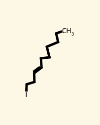 CCCCCC/C=C/CCI